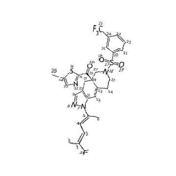 C/C(F)=C\C=C(/C)n1ncc2c1C=C1CCN(S(=O)(=O)c3cccc(C(F)(F)F)c3)C[C@@]1(C(=O)c1ncc(C)s1)C2